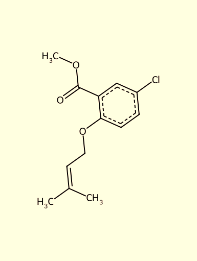 COC(=O)c1cc(Cl)ccc1OCC=C(C)C